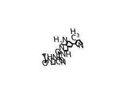 Cc1ccncc1-c1cc(N)c2cnc(NC(=O)C(=O)NC3(C#N)CCN(C(=O)C4CC4)C3)cc2c1